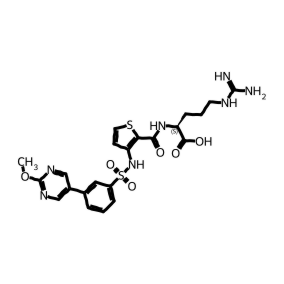 COc1ncc(-c2cccc(S(=O)(=O)Nc3ccsc3C(=O)N[C@@H](CCCNC(=N)N)C(=O)O)c2)cn1